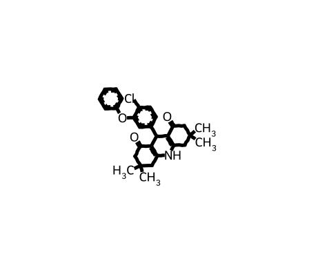 CC1(C)CC(=O)C2=C(C1)NC1=C(C(=O)CC(C)(C)C1)C2c1ccc(Cl)c(Oc2ccccc2)c1